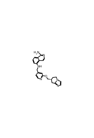 Nc1nccc2c(NCc3ccnc(OC[C@H]4CCn5ccnc5C4)c3)cccc12